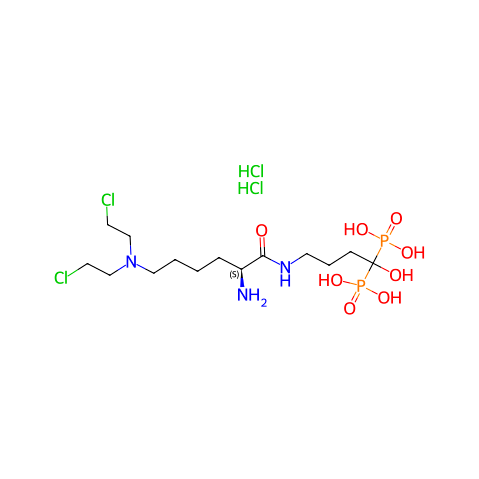 Cl.Cl.N[C@@H](CCCCN(CCCl)CCCl)C(=O)NCCCC(O)(P(=O)(O)O)P(=O)(O)O